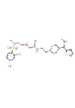 CN(C)C(c1cccs1)C1CCC(CCNC(=O)COCCN(C)S(=O)(=O)c2ccc(Cl)cc2Cl)CC1